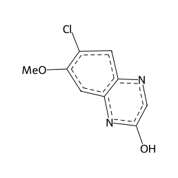 COc1cc2nc(O)cnc2cc1Cl